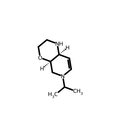 CC(C)N1C=C[C@@H]2NCCO[C@@H]2C1